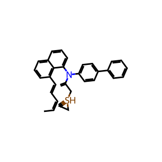 C=C(C[SH]1#CC1)N(c1ccc(-c2ccccc2)cc1)c1cccc2cccc(C=C/C=C\C)c12